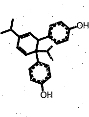 CC(C)C1=CC(c2ccc(O)cc2)C(c2ccc(O)cc2)(C(C)C)C=C1